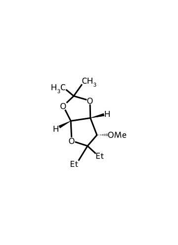 CCC1(CC)O[C@@H]2OC(C)(C)O[C@@H]2[C@@H]1OC